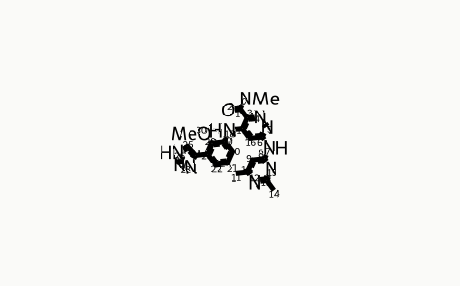 CNC(=O)c1nnc(Nc2cc(C)nc(C)n2)cc1Nc1cccc(-c2c[nH]nn2)c1OC